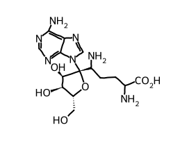 Nc1ncnc2c1ncn2[C@]1(C(N)CCC(N)C(=O)O)O[C@H](CO)[C@@H](O)[C@H]1O